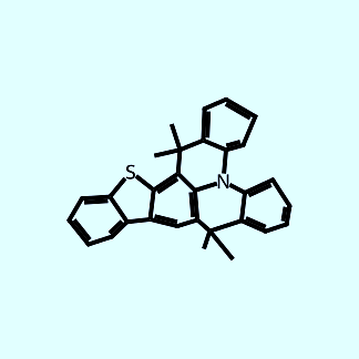 CC1(C)c2ccccc2N2c3ccccc3C(C)(C)c3c2c1cc1c3sc2ccccc21